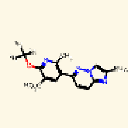 [2H]C([2H])([2H])Oc1nc(C)c(-c2ccc3nc(NC(C)=O)cn3n2)cc1C(=O)O